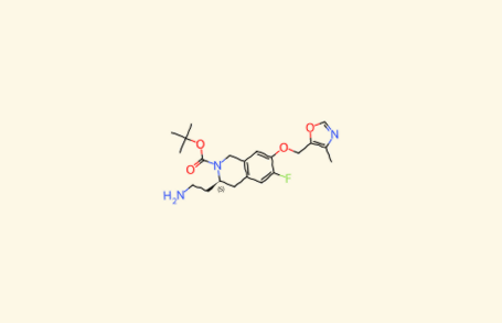 Cc1ncoc1COc1cc2c(cc1F)C[C@@H](CCN)N(C(=O)OC(C)(C)C)C2